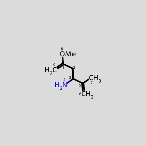 C=C(CC(N)C(=C)C)OC